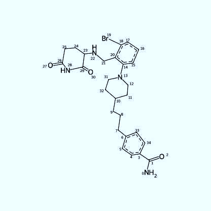 NC(=O)c1ccc(CCCC2CCN(c3cccc(Br)c3CNC3CCC(=O)NC3=O)CC2)cc1